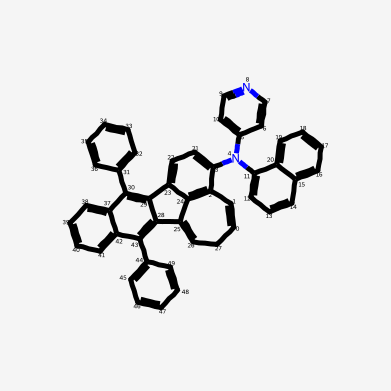 C1=Cc2c(N(c3ccncc3)c3cccc4ccccc34)ccc3c2C(=CC1)c1c-3c(-c2ccccc2)c2ccccc2c1-c1ccccc1